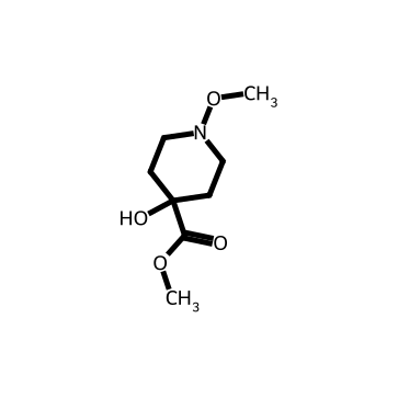 COC(=O)C1(O)CCN(OC)CC1